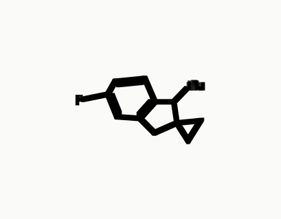 CC(C)(C)C1c2ccc(F)cc2CC12CC2